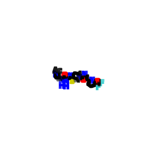 CC(=O)N1CC[C@@H](NC(=O)Nc2nc3c(s2)[C@H](C)N(c2ncc(-c4cccc(OC(F)F)n4)o2)[C@H](C)C3)C1